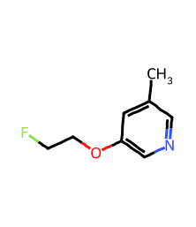 Cc1cncc(OCCF)c1